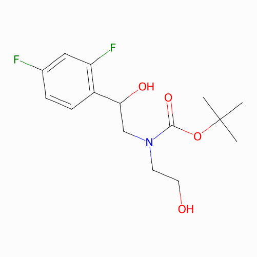 CC(C)(C)OC(=O)N(CCO)CC(O)c1ccc(F)cc1F